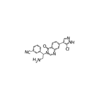 N#Cc1cccc(C(CN)n2cnc3cc(-c4cn[nH]c4Cl)ccc3c2=O)c1